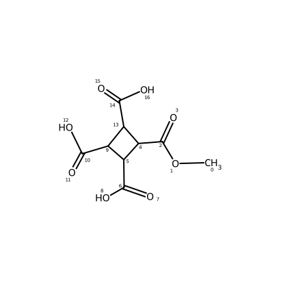 COC(=O)C1C(C(=O)O)C(C(=O)O)C1C(=O)O